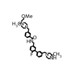 COCC[N+]1(C)CCN(Cc2cccc(C(=O)NCc3ccc(F)c(-c4cccc(CN5CCN[C@@H](C)C5)c4)c3)c2)CC1